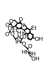 CCc1c2c(nc3ccc(O)cc13)-c1cc3c(c(=O)n1C2)COC(=O)C3(CC)OC(=O)OCC(NC(=O)COCC(=O)NBCO)C(C)C